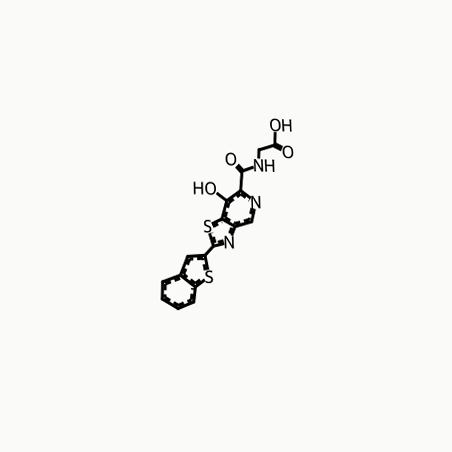 O=C(O)CNC(=O)c1ncc2nc(-c3cc4ccccc4s3)sc2c1O